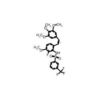 COc1ccc(/C=C\c2cc(OC)c(OC)c(OC)c2)c(NS(=O)(=O)c2cccc(C(F)(F)F)c2)c1F